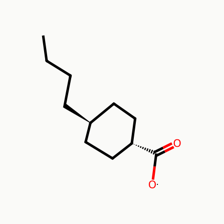 CCCC[C@H]1CC[C@H](C([O])=O)CC1